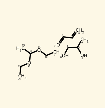 C=CC=O.CC(O)CO.CCOC(C)OCC